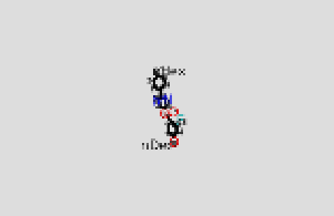 CCCCCCCCCCOc1ccc(C(=O)Oc2cnc(-c3ccc(CCCCCC)cc3)nc2)c(F)c1